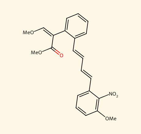 COC=C(C(=O)OC)c1ccccc1C=CC=Cc1cccc(OC)c1[N+](=O)[O-]